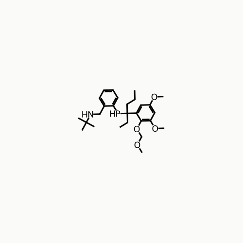 CCCC(CC)(Pc1ccccc1CNC(C)(C)C)c1cc(OC)cc(OC)c1OCOC